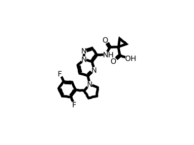 O=C(O)C1(C(=O)Nc2cnn3ccc(N4CCCC4c4cc(F)ccc4F)nc23)CC1